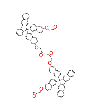 C1=CC2C=C(C3(c4ccc5cc(OCC6CO6)ccc5c4)c4ccccc4-c4cc5ccccc5cc43)C=CC2C=C1OCC1OC1C1OC1COc1ccc2cc(C3(c4ccc5cc(OCC6CO6)ccc5c4)c4cc5ccccc5cc4-c4cc5ccccc5cc43)ccc2c1